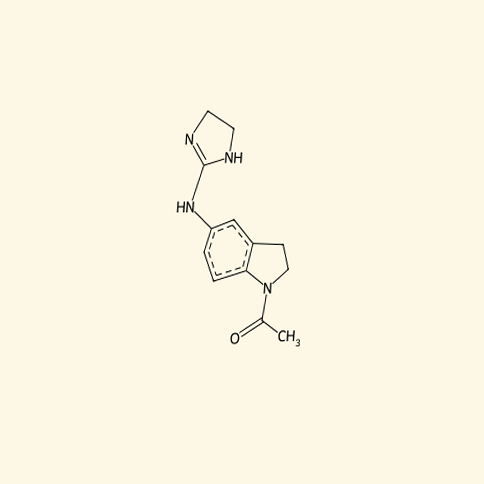 CC(=O)N1CCc2cc(NC3=NCCN3)ccc21